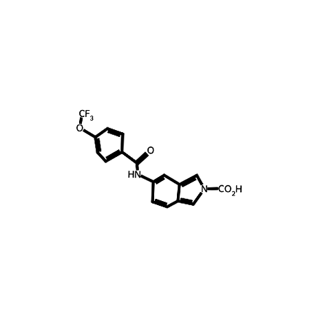 O=C(Nc1ccc2cn(C(=O)O)cc2c1)c1ccc(OC(F)(F)F)cc1